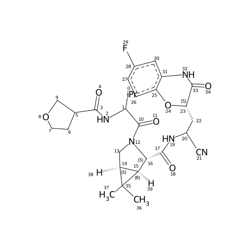 CC(C)C(NC(=O)C1CCOC1)C(=O)N1C[C@H]2[C@@H]([C@H]1C(=O)NC(C#N)C[C@@H]1Oc3ccc(F)cc3NC1=O)C2(C)C